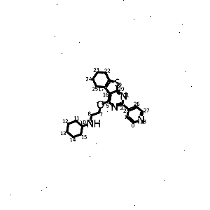 c1cc(-c2nc(OCCNC3CCCCC3)c3c4c(sc3n2)CCCC4)ccn1